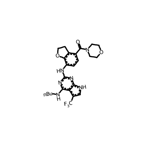 CCCCNc1nc(Nc2ccc(C(=O)N3CCOCC3)c3c2OCC3)nc2[nH]cc(C(F)(F)F)c12